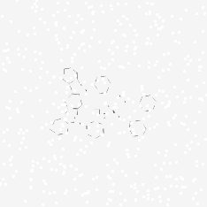 NC(NC(c1ccccc1)[C@@H](N)c1ccccc1)c1cccc(-n2c3ccccc3c3cc4c5ccccc5n(-c5ccccc5)c4cc32)c1